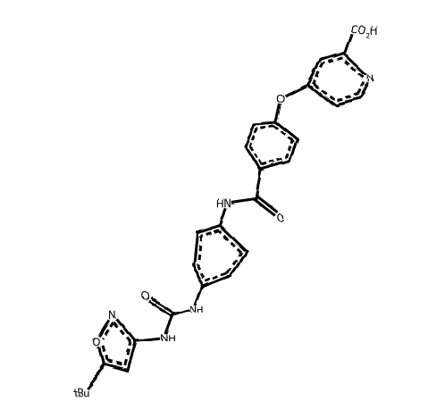 CC(C)(C)c1cc(NC(=O)Nc2ccc(NC(=O)c3ccc(Oc4ccnc(C(=O)O)c4)cc3)cc2)no1